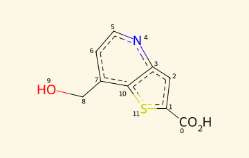 O=C(O)c1cc2nccc(CO)c2s1